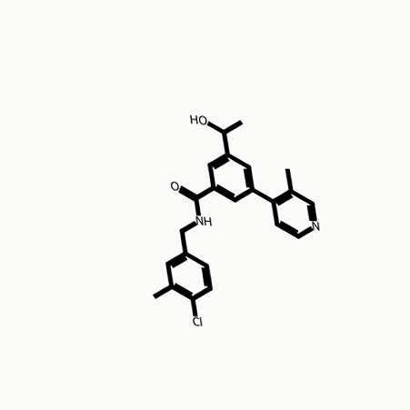 Cc1cc(CNC(=O)c2cc(-c3ccncc3C)cc(C(C)O)c2)ccc1Cl